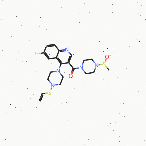 C=CSN1CCN(c2c(C(=O)N3CCN([S+](C)[O-])CC3)cnc3ccc(F)cc23)CC1